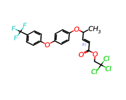 CC(/C=C/C(=O)OCC(Cl)(Cl)Cl)Oc1ccc(Oc2ccc(C(F)(F)F)cc2)cc1